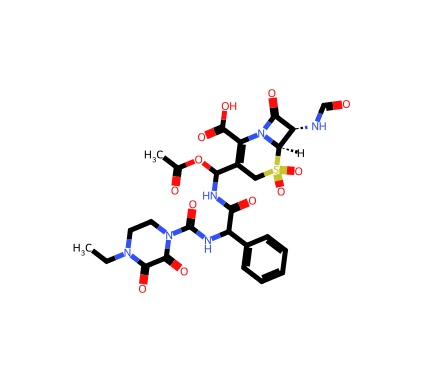 CCN1CCN(C(=O)NC(C(=O)NC(OC(C)=O)C2=C(C(=O)O)N3C(=O)[C@H](NC=O)[C@H]3S(=O)(=O)C2)c2ccccc2)C(=O)C1=O